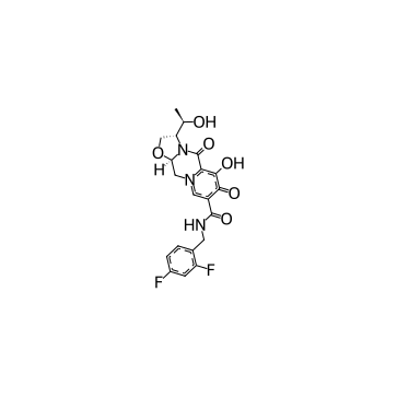 C[C@@H](O)[C@H]1CO[C@@H]2Cn3cc(C(=O)NCc4ccc(F)cc4F)c(=O)c(O)c3C(=O)N12